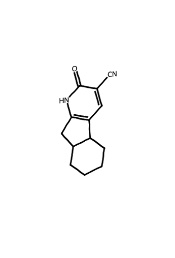 N#Cc1cc2c([nH]c1=O)CC1CCCCC21